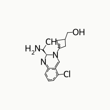 CC(N)[C@@H]1N=c2cccc(Cl)c2=CN1C1CC(CO)C1